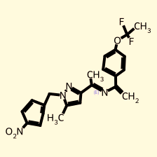 C=C(/N=C(\C)c1cc(C)n(Cc2ccc([N+](=O)[O-])cc2)n1)c1ccc(OC(C)(F)F)cc1